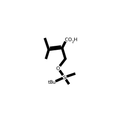 CC(C)=C(CO[Si](C)(C)C(C)(C)C)C(=O)O